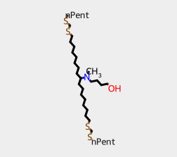 CCCCCSCSCCCCCCCCC(CCCCCCCCSCSCCCCC)N(C)CCCCO